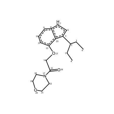 CCC(CC)c1c[nH]c2cccc(OCC(=O)N3CCOCC3)c12